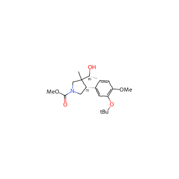 COC(=O)N1C[C@@H](c2ccc(OC)c(OC(C)(C)C)c2)C(C)([C@@H](C)O)C1